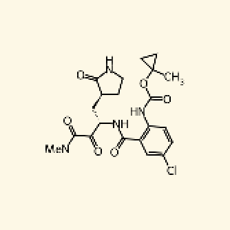 CNC(=O)C(=O)[C@H](C[C@@H]1CCNC1=O)NC(=O)c1cc(Cl)ccc1NC(=O)OC1(C)CC1